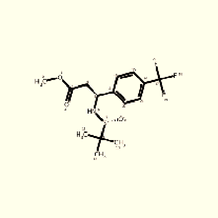 COC(=O)C[C@H](N[S@+]([O-])C(C)(C)C)c1ccc(C(F)(F)F)cc1